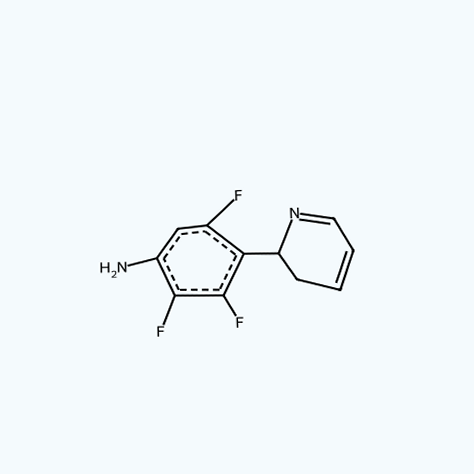 Nc1cc(F)c(C2CC=CC=N2)c(F)c1F